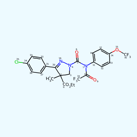 CCOC(=O)C1(C)CN(C(=O)N(C(=O)C(F)(F)F)c2ccc(OC(F)(F)F)cc2)N=C1c1ccc(Cl)cc1